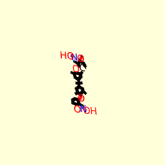 COc1cccc(Oc2c(C)cc(C(C)(C)c3cc(C)c(Oc4cccc(OC)c4/C=N/O)c(C)c3)cc2C)c1/C=N/O